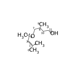 CC(C)=CC(C)OCC(C)CCO